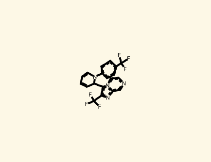 FC(F)(F)c1ccc(N2C=CC=CC2c2c(C(F)(F)F)nc3cnccn23)cc1